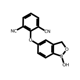 N#Cc1cccc(C#N)c1Oc1ccc2c(c1)COB2O